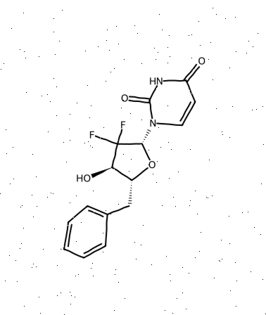 O=c1ccn([C@@H]2O[C@H](Cc3cc[c]cc3)[C@@H](O)C2(F)F)c(=O)[nH]1